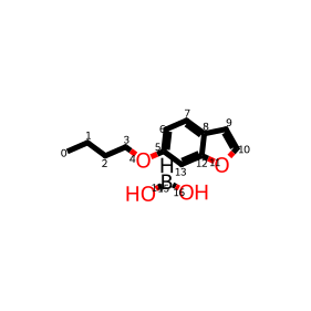 CCCCOc1ccc2ccoc2c1.OBO